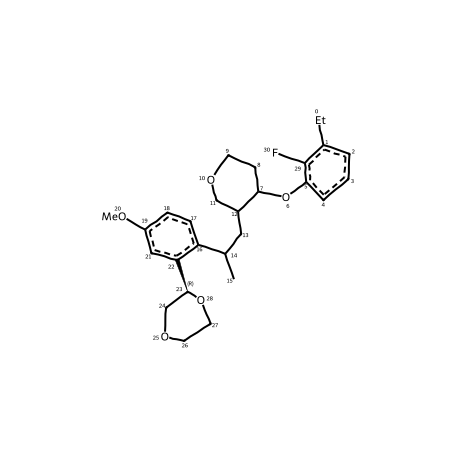 CCc1cccc(OC2CCOCC2CC(C)c2ccc(OC)cc2[C@@H]2COCCO2)c1F